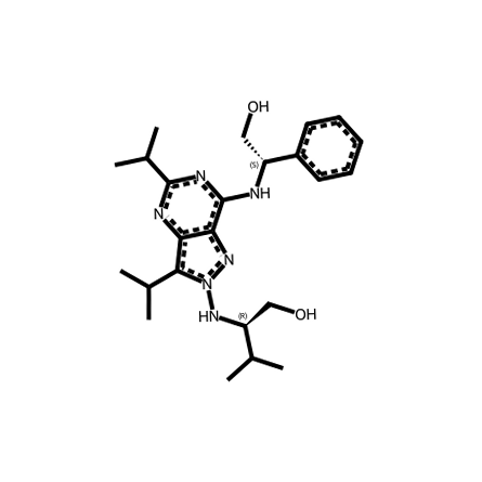 CC(C)c1nc(N[C@H](CO)c2ccccc2)c2nn(N[C@@H](CO)C(C)C)c(C(C)C)c2n1